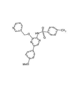 COc1ccc(-c2cnc(NS(=O)(=O)c3ccc(C)cc3)c(OCc3cccnc3)n2)cc1